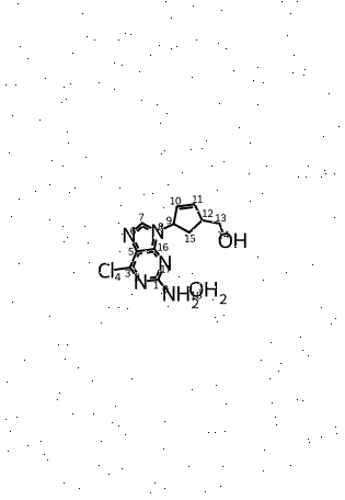 Nc1nc(Cl)c2ncn(C3C=CC(CO)C3)c2n1.O